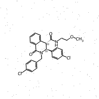 COCCNC(=O)[C@H]1c2ccccc2C(=O)N(Cc2ccc(Cl)cc2)[C@@H]1c1ccc(Cl)cc1